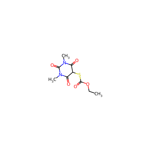 CCOC(=O)SC1C(=O)N(C)C(=O)N(C)C1=O